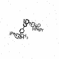 CC(C)NC(=O)N1CCN(c2ccnn3cc(C4C=CC([C@]5(C)CN(C(C)C)CCN5)=CC4)cc23)CC1